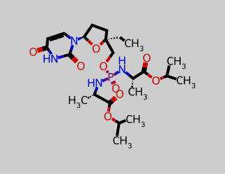 CC[C@@]1(COP(=O)(N[C@@H](C)C(=O)OC(C)C)N[C@@H](C)C(=O)OC(C)C)CC[C@H](n2ccc(=O)[nH]c2=O)O1